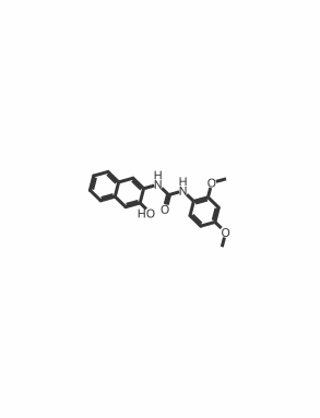 COc1ccc(NC(=O)Nc2cc3ccccc3cc2O)c(OC)c1